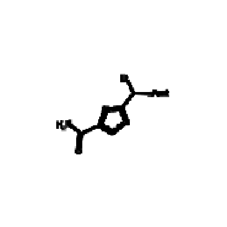 CCCCCC(CC)c1nc(C(N)=O)cs1